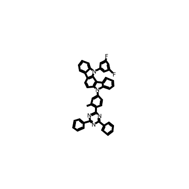 Cc1cc(-n2c3ccccc3c3c2ccc2c4ccccc4n(-c4cc(F)cc(F)c4)c23)ccc1-c1nc(-c2ccccc2)nc(-c2ccccc2)n1